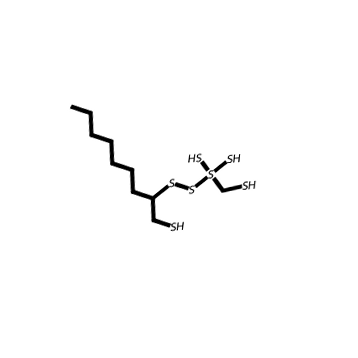 CCCCCCCC(CS)SSS(S)(S)CS